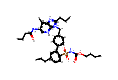 CCCCOC(=O)NS(=O)(=O)c1ccc(CCC)cc1-c1ccc(Cn2c(CCC)nc3c(C)c(NC(=O)CCC)cnc32)cc1